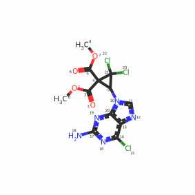 COC(=O)C1(C(=O)OC)C(n2cnc3c(Cl)nc(N)nc32)C1(Cl)Cl